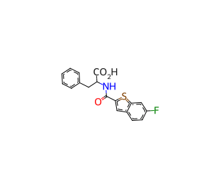 O=C(NC(Cc1ccccc1)C(=O)O)c1cc2ccc(F)cc2s1